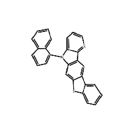 c1ccc2c(-n3c4cc5sc6ccccc6c5cc4c4ncccc43)cccc2c1